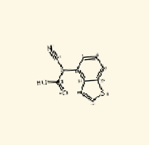 N#CC(C(=O)O)c1cccc2sccc12